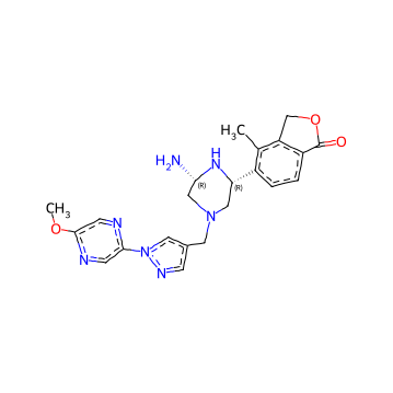 COc1cnc(-n2cc(CN3C[C@@H](c4ccc5c(c4C)COC5=O)N[C@@H](N)C3)cn2)cn1